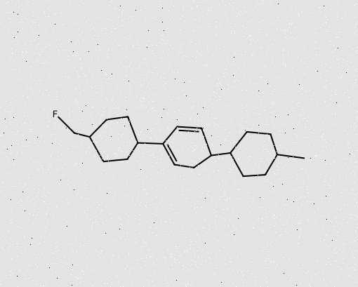 CC1CCC(C2C=CC(C3CCC(CF)CC3)=CC2)CC1